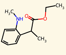 CCOC(=O)C(C)c1ccccc1NC